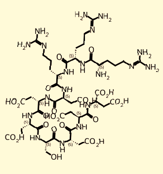 NC(N)=NCCC[C@H](NC(=O)[C@H](CCCN=C(N)N)NC(=O)[C@@H](N)CCCN=C(N)N)C(=O)N[C@@H](CC(=O)O)C(=O)N[C@@H](CC(=O)O)C(=O)N[C@@H](CC(=O)O)C(=O)N[C@@H](CO)C(=O)N[C@@H](CC(=O)O)C(=O)N[C@@H](CC(=O)O)C(=O)N[C@@H](CC(=O)O)C(=O)O